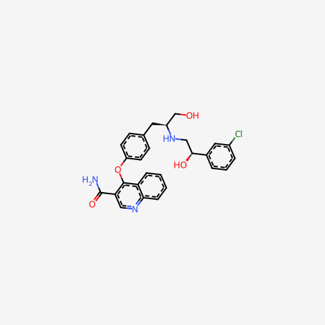 NC(=O)c1cnc2ccccc2c1Oc1ccc(C[C@@H](CO)NC[C@H](O)c2cccc(Cl)c2)cc1